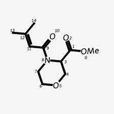 COC(=O)C1COCCN1C(=O)C=C(C)C